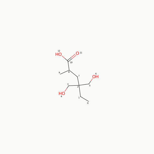 CCC(CO)(CO)CC(C)C(=O)O